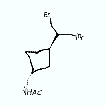 CCC(C(C)C)[C@H]1C[C@H](NC(C)=O)C1